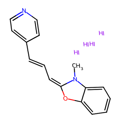 CN1C(=CC=Cc2ccncc2)Oc2ccccc21.I.I.I.I